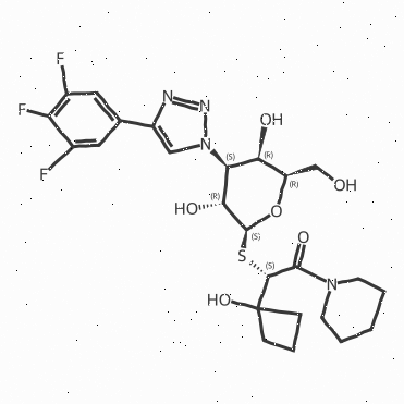 O=C([C@@H](S[C@@H]1O[C@H](CO)[C@H](O)[C@H](n2cc(-c3cc(F)c(F)c(F)c3)nn2)[C@H]1O)C1(O)CCC1)N1CCCCC1